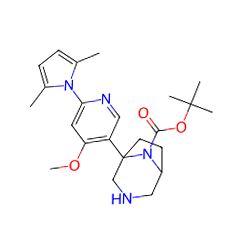 COc1cc(-n2c(C)ccc2C)ncc1C12CCC(CNC1)N2C(=O)OC(C)(C)C